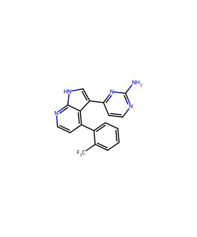 Nc1nccc(-c2c[nH]c3nccc(-c4ccccc4C(F)(F)F)c23)n1